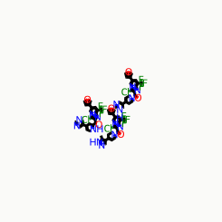 Cc1[nH]ncc1C1=CCN(C(=O)c2nc3c(C(F)(F)F)cc(-c4ccoc4)cn3c2Cl)CC1.O=C(c1nc2c(C(F)(F)F)cc(-c3ccoc3)cn2c1Cl)C1CC(c2cncnc2)=CCN1.O=C(c1nc2c(C(F)(F)F)cc(-c3ccoc3)cn2c1Cl)N1CC=C(C2=CN=CNC2)CC1